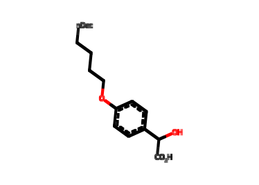 CCCCCCCCCCCCCCOc1ccc(C(O)C(=O)O)cc1